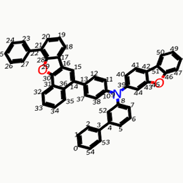 c1ccc(-c2cccc(N(c3ccc(-c4cc5c6cccc(-c7ccccc7)c6oc5c5ccccc45)cc3)c3ccc4c(c3)oc3ccccc34)c2)cc1